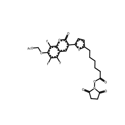 CC(=O)OCOc1c(F)c(F)c2cc(-c3ccc(CCCCCC(=O)ON4C(=O)CCC4=O)s3)c(=O)oc2c1F